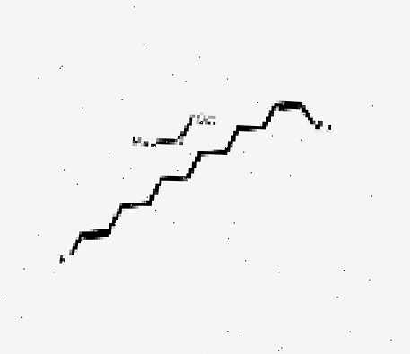 CC/C=C/CCCCCCCC/C=C\CCCC.CCCCCCCCOOC